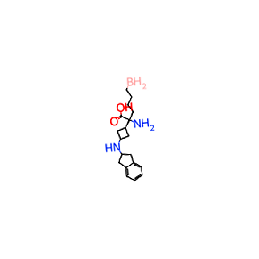 BCCCCC(N)(C(=O)O)[C@H]1C[C@@H](NC2Cc3ccccc3C2)C1